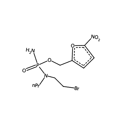 CCCN(CCBr)P(N)(=O)OCc1ccc([N+](=O)[O-])o1